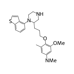 CNc1cc(C)c(OCCCC2CNCCN2c2cccc3sccc23)c(OC)c1